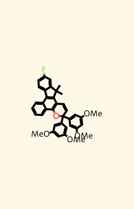 COc1cc(OC)cc(C2(c3cc(OC)cc(OC)c3)C=Cc3c4c(c5ccccc5c3O2)-c2ccc(F)cc2C4(C)C)c1